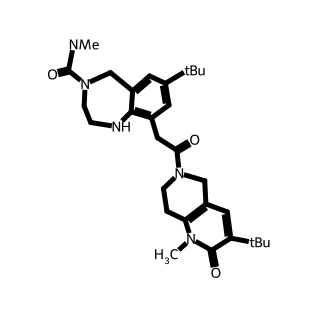 CNC(=O)N1CCNc2c(CC(=O)N3CCc4c(cc(C(C)(C)C)c(=O)n4C)C3)cc(C(C)(C)C)cc2C1